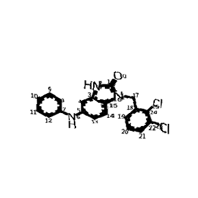 O=c1[nH]c2cc(Nc3ccccc3)ccc2n1Cc1cccc(Cl)c1Cl